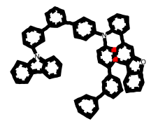 c1ccc(-c2cccc(-c3ccc(N(c4ccc(-c5cccc(-c6cccc(-n7c8ccccc8c8ccccc87)c6)c5)cc4)c4ccccc4-c4ccc5c(c4)oc4ccccc45)cc3)c2)cc1